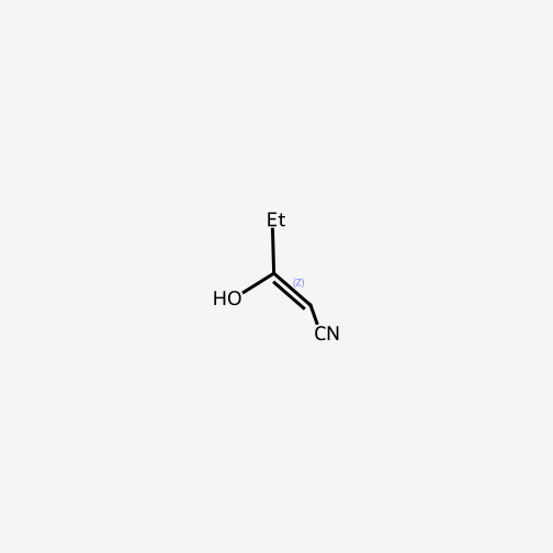 CC/C(O)=C/C#N